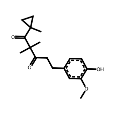 COc1cc(CCC(=O)C(C)(C)C(=O)C2(C)CC2)ccc1O